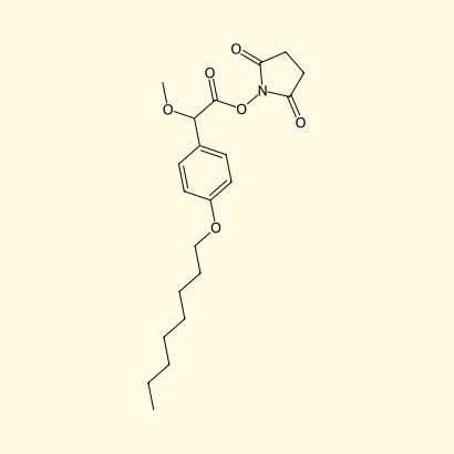 CCCCCCCCOc1ccc(C(OC)C(=O)ON2C(=O)CCC2=O)cc1